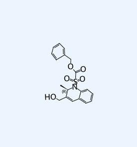 C[C@@H]1C(CO)=Cc2ccccc2N1S(=O)(=O)C(=O)OCc1ccccc1